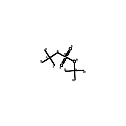 CC(C)(C)CS(=O)(=O)OC(C)(C)C